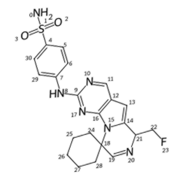 NS(=O)(=O)c1ccc(Nc2ncc3cc4n(c3n2)C2(C=NC4CF)CCCCC2)cc1